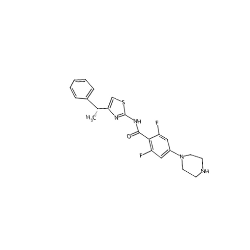 C[C@H](c1ccccc1)c1csc(NC(=O)c2c(F)cc(N3CCNCC3)cc2F)n1